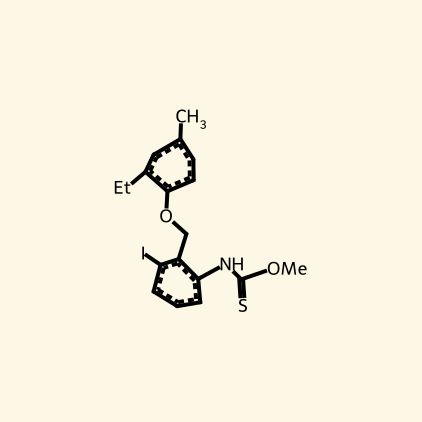 CCc1cc(C)ccc1OCc1c(I)cccc1NC(=S)OC